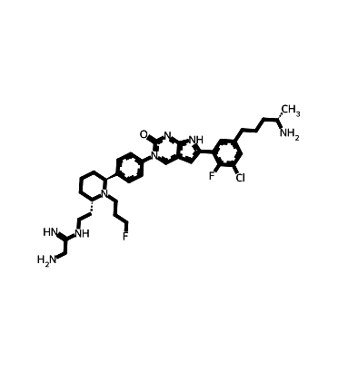 C[C@H](N)CCCc1cc(Cl)c(F)c(-c2cc3cn(-c4ccc([C@@H]5CCC[C@@H](CCNC(=N)CN)N5CCCF)cc4)c(=O)nc3[nH]2)c1